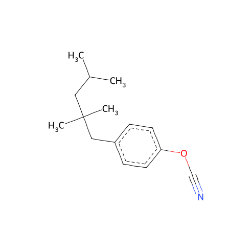 CC(C)CC(C)(C)Cc1ccc(OC#N)cc1